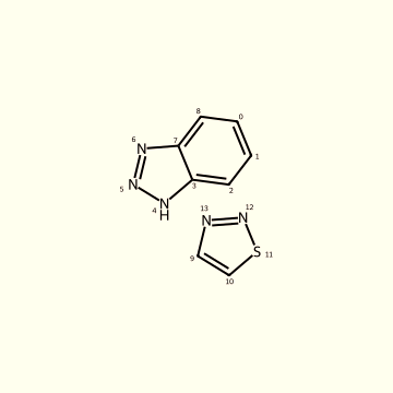 c1ccc2[nH]nnc2c1.c1csnn1